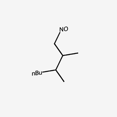 CCCCC(C)C(C)CN=O